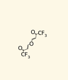 O=C(C=COC=CC(=O)C(F)(F)F)C(F)(F)F